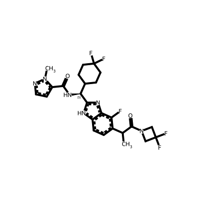 CC(C(=O)N1CC(F)(F)C1)c1ccc2[nH]c([C@@H](NC(=O)c3ccnn3C)C3CCC(F)(F)CC3)nc2c1F